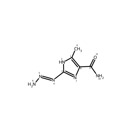 Cc1[nH]c(N=NN)nc1C(N)=O